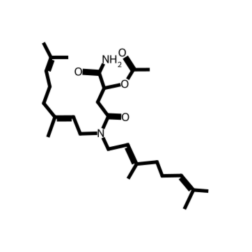 CC(=O)OC(CC(=O)N(C/C=C(\C)CCC=C(C)C)C/C=C(\C)CCC=C(C)C)C(N)=O